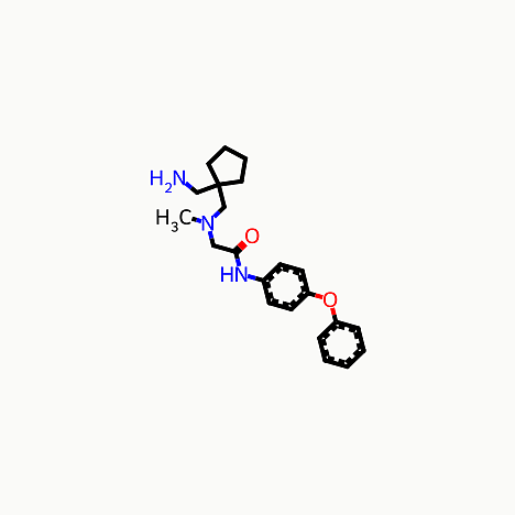 CN(CC(=O)Nc1ccc(Oc2ccccc2)cc1)CC1(CN)CCCC1